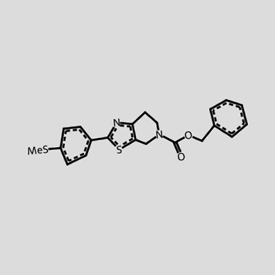 CSc1ccc(-c2nc3c(s2)CN(C(=O)OCc2ccccc2)CC3)cc1